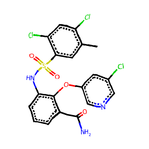 Cc1cc(S(=O)(=O)Nc2cccc(C(N)=O)c2Oc2cncc(Cl)c2)c(Cl)cc1Cl